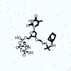 Cc1cn([C@H]2C[C@@H](OCSSC(C)(C)BC3CC4C=CC3C4)C(COP(=O)(O)OP(=O)(O)OP(=O)(O)O)O2)c(=O)[nH]c1=O